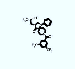 O=C(c1cc(C(F)(F)F)cc(C(F)(F)F)c1)N1CCC2(CC1)C(=O)N(C[C@@H](O)C(F)(F)F)CN2c1ccccc1